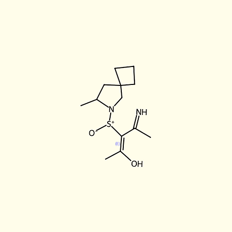 CC(=N)/C(=C(/C)O)[S+]([O-])N1CC2(CCC2)CC1C